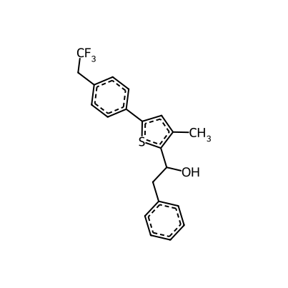 Cc1cc(-c2ccc(CC(F)(F)F)cc2)sc1C(O)Cc1ccccc1